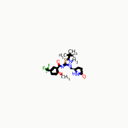 COc1ccc(C(F)(F)F)cc1C(=O)N=c1sc(C(C)(C)C)nn1C[C@H]1CCC(=O)N1